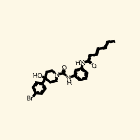 CCCCCCC(=O)Nc1cccc(NC(=O)N2CCC(O)(c3ccc(Br)cc3)CC2)c1